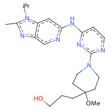 COC1(CCCO)CCN(c2nccc(Nc3cc4c(cn3)nc(C)n4C(C)C)n2)CC1